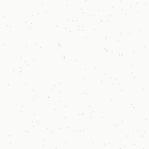 CCCOc1ccc(/C=C2/CCCC3C2=NN(CCCN(C)C)C3c2ccc(OCCC)cc2)cc1